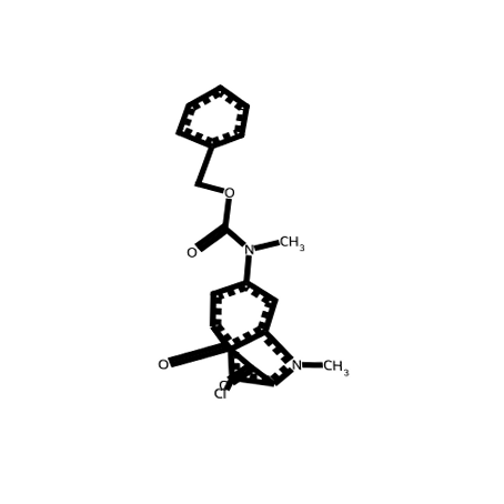 CN(C(=O)OCc1ccccc1)c1cc2c3c(Cl)c(n(C)c3c1)C(=O)C2=O